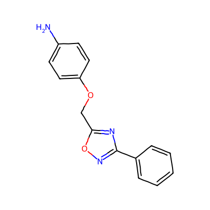 Nc1ccc(OCc2nc(-c3ccccc3)no2)cc1